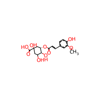 COc1cc(/C=C/C(=O)O[C@H]2C[C@@](O)(C(=O)O)CC(O)[C@@H]2O)ccc1O